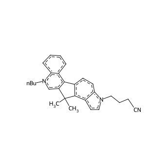 CCCC[n+]1cc2c(c3ccccc31)-c1ccc3c(ccn3CCCC#N)c1C2(C)C